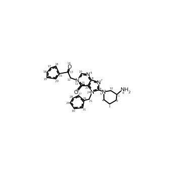 NC1CCCN(c2nc3ncn(CC(=O)c4ccccc4)c(=O)c3n2Cc2ccccc2)C1